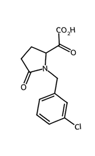 O=C(O)C(=O)C1CCC(=O)N1Cc1cccc(Cl)c1